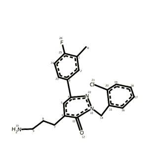 Cc1cc(-c2cc(CCCN)c(=O)n(Cc3ccccc3Cl)n2)ccc1F